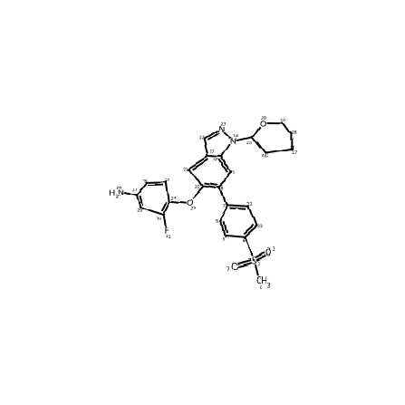 CS(=O)(=O)c1ccc(-c2cc3c(cnn3C3CCCCO3)cc2Oc2ccc(N)cc2F)cc1